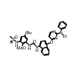 CCN(c1ccccc1)c1nccc(Oc2ccc(NC(=O)Nc3cc(C(C)(C)C)cc(NS(C)(=O)=O)c3OC)c3ccccc23)n1